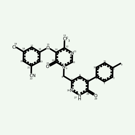 Cc1ccc(-c2cc(Cn3cnc(C(F)(F)F)c(Oc4cc(Cl)cc(C#N)c4)c3=O)n[nH]c2=O)cc1